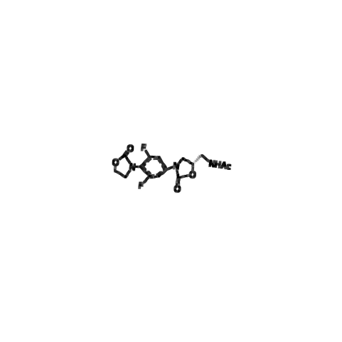 CC(=O)NC[C@H]1CN(c2cc(F)c(N3CCOC3=O)c(F)c2)C(=O)O1